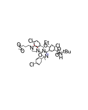 CCOc1cc(Cl)c(S(=O)(=O)NC(C)(C)C)cc1/C(=N/C(C)(C)C1C=CC(Cl)=CC1)N(Cc1ccc(Cl)cc1)C(=O)N1CCN(CCCS(C)(=O)=O)CC1